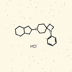 Cl.c1ccc(N2CCC23CCN(C2CC4CCCCC4C2)CC3)cc1